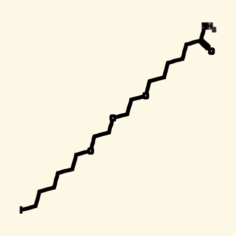 NC(=O)CCCCCOCCOCCOCCCCCCI